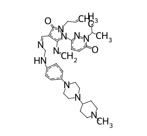 C=CCn1c(=O)c(/C=N\CNc2ccc(N3CCN(C4CCN(C)CC4)CC3)cc2)c(N=C)n1-c1ccc(=O)n(C(C)C)n1